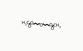 CC(=O)OCCCCOCCCCOC(C)=O